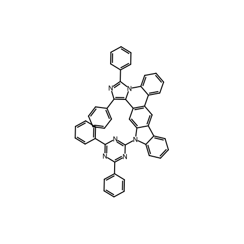 c1ccc(-c2nc(-c3ccccc3)nc(-n3c4ccccc4c4cc5c6ccccc6n6c(-c7ccccc7)nc(-c7ccccc7)c6c5cc43)n2)cc1